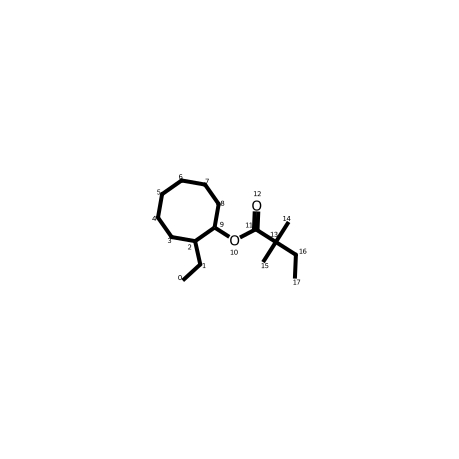 CCC1CCCCCCC1OC(=O)C(C)(C)CC